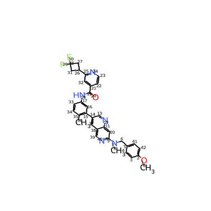 COc1ccc(CN(C)c2cc3ncc(-c4cc(NC(=O)c5ccnc(C6CC(F)(F)C6)c5)ccc4C)cc3cn2)cc1